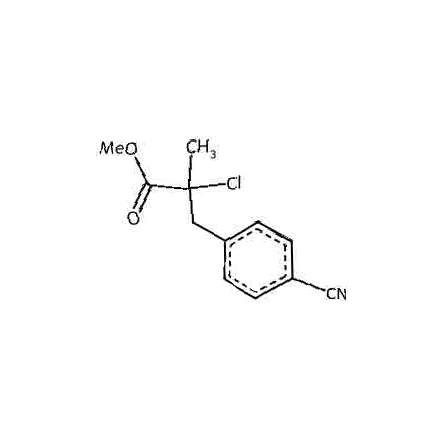 COC(=O)C(C)(Cl)Cc1ccc(C#N)cc1